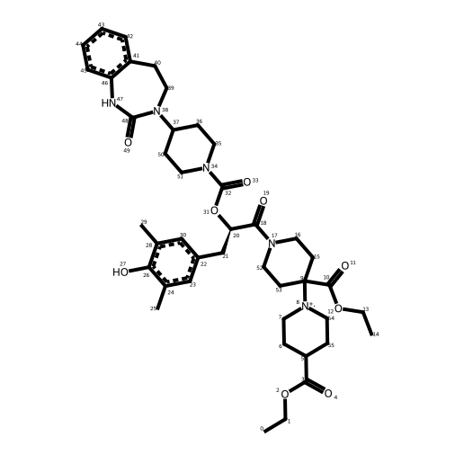 CCOC(=O)C1CC[N+](C2(C(=O)OCC)CCN(C(=O)[C@@H](Cc3cc(C)c(O)c(C)c3)OC(=O)N3CCC(N4CCc5ccccc5NC4=O)CC3)CC2)CC1